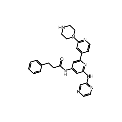 O=C(CCc1ccccc1)Nc1cc(Nc2cnccn2)nc(-c2ccnc(N3CCNCC3)c2)c1